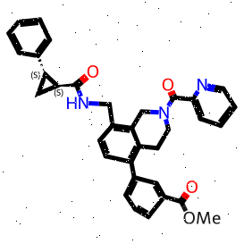 COC(=O)c1cccc(-c2ccc(CNC(=O)[C@H]3C[C@@H]3c3ccccc3)c3c2CCN(C(=O)c2ccccn2)C3)c1